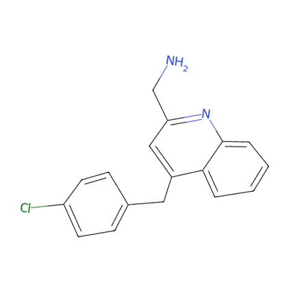 NCc1cc(Cc2ccc(Cl)cc2)c2ccccc2n1